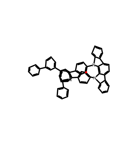 c1ccc(-c2ccc(-n3c4ccccc4c4ccc5c6ccccc6n(-c6ccc(-c7cc(-c8cccc(-c9ccccc9)c8)cc(-c8ccccc8)n7)cc6)c5c43)cc2)cc1